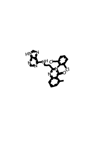 Cc1cccc2nc(CCNc3ncnc4[nH]cnc34)n(-c3c(Cl)cccc3Cl)c(=O)c12